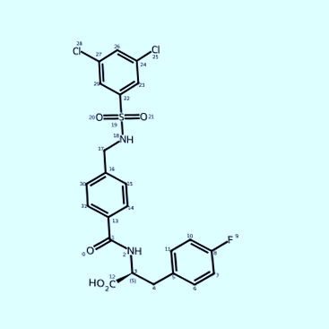 O=C(N[C@@H](Cc1ccc(F)cc1)C(=O)O)c1ccc(CNS(=O)(=O)c2cc(Cl)cc(Cl)c2)cc1